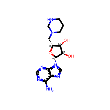 Nc1ncnc2c1ncn2[C@@H]1O[C@H](CN2CCCNC2)[C@@H](O)[C@H]1O